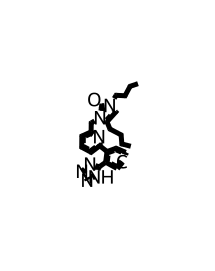 CCCCc1cn(CCCC)c(=O)n1Cc1cccc(-c2ccccc2-c2nnn[nH]2)n1